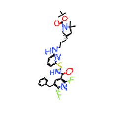 CC(C)(C)OC(=O)N1C[C@@H](CCCNc2cccc(SNC(=O)c3cc(Cc4ccccc4)c(F)nc3F)n2)CC1(C)C